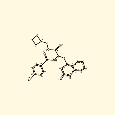 O=C(NC(Cc1cc(=O)[nH]c2ccccc12)C(=O)OCC1CCC1)c1ccc(Cl)cc1